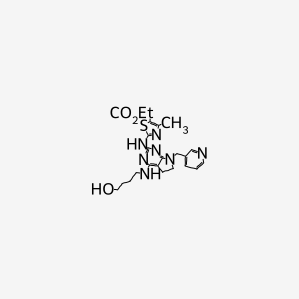 CCOC(=O)c1sc(Nc2nc(NCCCCO)c3c(n2)N(Cc2cccnc2)CC3)nc1C